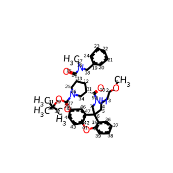 COCCCCC1(CNC(=O)[C@H]2C[C@@H](C(=O)N(C)Cc3ccccc3)CN(C(=O)OC(C)(C)C)C2)c2ccccc2Oc2ccccc21